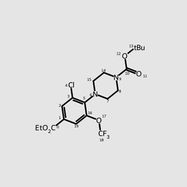 CCOC(=O)c1cc(Cl)c(N2CCN(C(=O)OC(C)(C)C)CC2)c(OC(F)(F)F)c1